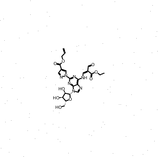 C=CCOC(=O)c1cnn(-c2nc(N/C=C(/C=O)C(=O)OCC)c3ncn([C@@H]4O[C@H](CO)[C@@H](O)[C@H]4O)c3n2)c1